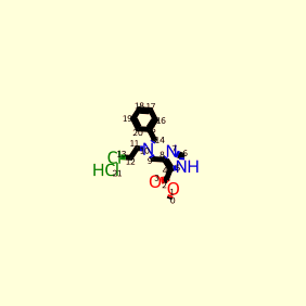 COC(=O)c1[nH]cnc1CN(CCCl)Cc1ccccc1.Cl